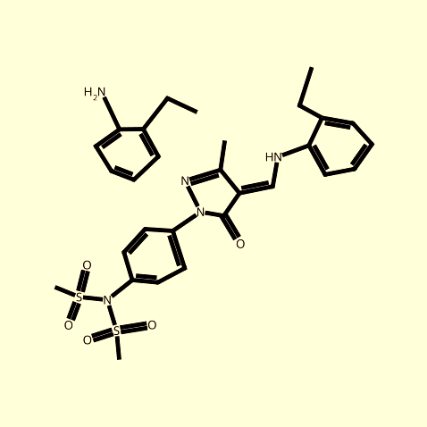 CCc1ccccc1N.CCc1ccccc1NC=C1C(=O)N(c2ccc(N(S(C)(=O)=O)S(C)(=O)=O)cc2)N=C1C